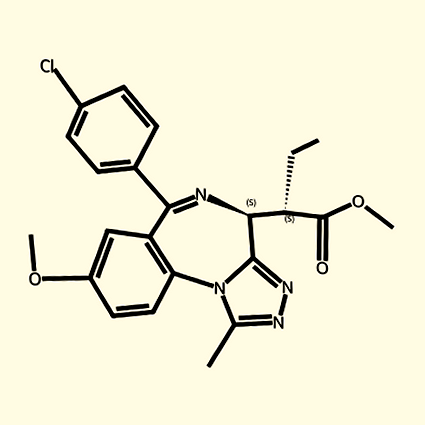 CC[C@H](C(=O)OC)[C@@H]1N=C(c2ccc(Cl)cc2)c2cc(OC)ccc2-n2c(C)nnc21